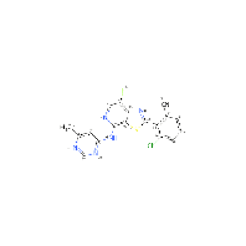 Cc1cc(Nc2ncc(F)c3nc(-c4c(Cl)cccc4C#N)sc23)ncn1